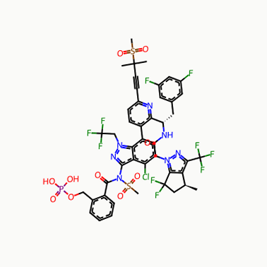 C[C@H]1CC(F)(F)c2c1c(C(F)(F)F)nn2CC(=O)N[C@@H](Cc1cc(F)cc(F)c1)c1nc(C#CC(C)(C)S(C)(=O)=O)ccc1-c1ccc(Cl)c2c(N(C(=O)c3ccccc3COP(=O)(O)O)S(C)(=O)=O)nn(CC(F)(F)F)c12